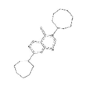 O=c1c2ccc(C3CCCCCC3)cc2ncn1C1CCCCCCC1